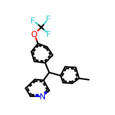 Cc1ccc(C(c2ccc(OC(F)(F)F)cc2)c2cccnc2)cc1